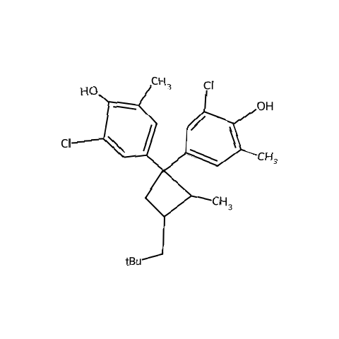 Cc1cc(C2(c3cc(C)c(O)c(Cl)c3)CC(CC(C)(C)C)C2C)cc(Cl)c1O